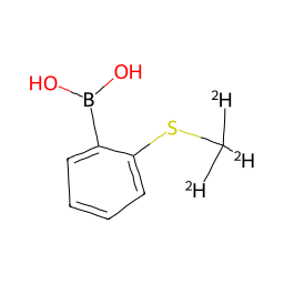 [2H]C([2H])([2H])Sc1ccccc1B(O)O